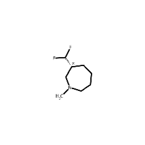 CN1CCCC[C@@H](C(F)F)C1